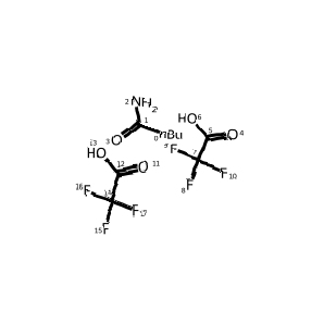 CCCCC(N)=O.O=C(O)C(F)(F)F.O=C(O)C(F)(F)F